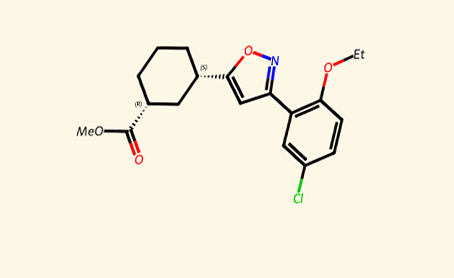 CCOc1ccc(Cl)cc1-c1cc([C@H]2CCC[C@@H](C(=O)OC)C2)on1